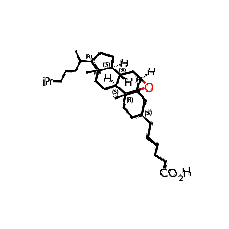 CC(C)CCCC(C)[C@H]1CC[C@H]2[C@@H]3C[C@H]4OC45C[C@@H](CCCCCC(=O)O)CC[C@]5(C)[C@H]3CC[C@]12C